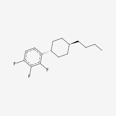 CCCC[C@H]1CC[C@H](c2ccc(F)c(F)c2F)CC1